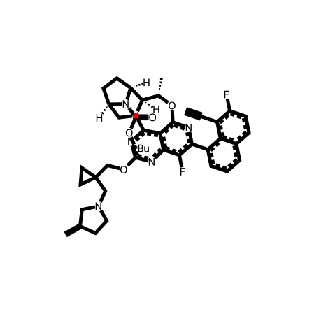 C#Cc1c(F)ccc2cccc(-c3nc4c5c(nc(OCC6(CN7CCC(=C)C7)CC6)nc5c3F)N3C[C@H]5CC[C@@H]([C@H]3[C@H](C)O4)N5C(=O)OC(C)(C)C)c12